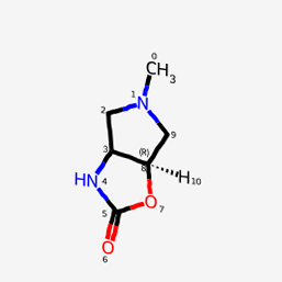 CN1CC2NC(=O)O[C@@H]2C1